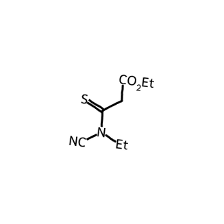 CCOC(=O)CC(=S)N(C#N)CC